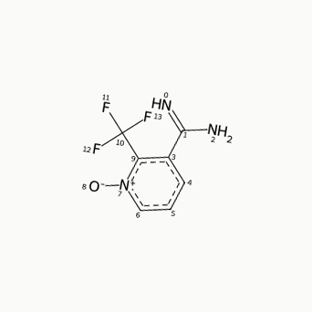 N=C(N)c1ccc[n+]([O-])c1C(F)(F)F